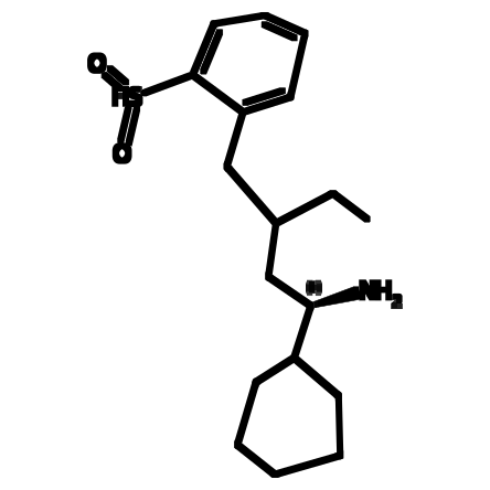 CCC(Cc1ccccc1[SH](=O)=O)C[C@@H](N)C1CCCCC1